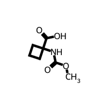 COC(=O)NC1(C(=O)O)CCC1